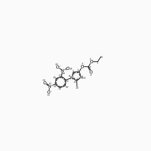 CCOC(=O)Oc1cn(-c2ccc([N+](=O)[O-])cc2[N+](=O)[O-])c(C)n1